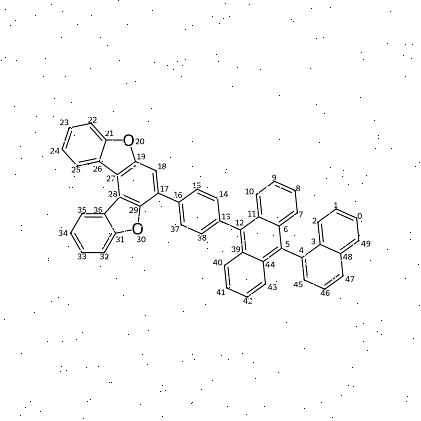 c1ccc2c(-c3c4ccccc4c(-c4ccc(-c5cc6oc7ccccc7c6c6c5oc5ccccc56)cc4)c4ccccc34)cccc2c1